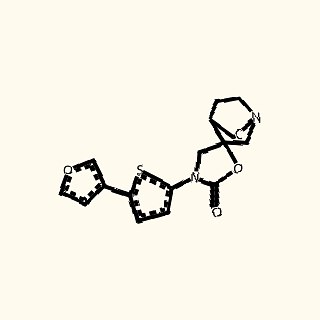 O=C1OC2(CN3CCC2CC3)CN1c1ccc(-c2ccoc2)s1